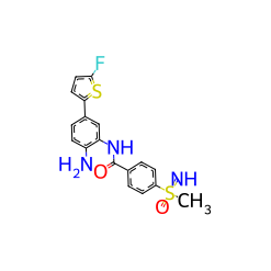 CS(=N)(=O)c1ccc(C(=O)Nc2cc(-c3ccc(F)s3)ccc2N)cc1